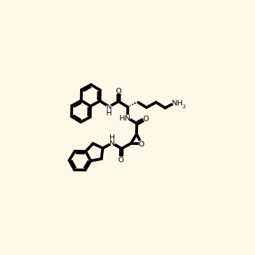 NCCCC[C@H](NC(=O)C1OC1C(=O)NC1Cc2ccccc2C1)C(=O)Nc1cccc2ccccc12